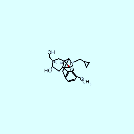 COc1ccc2c3c1OCCC[C@]14C[C@H](CO)C(O)CC31CCN(CC1CC1)C4C2